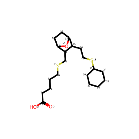 O=C(O)CCCCSCC1C2CCC(O2)C1CCSC1CCCCC1